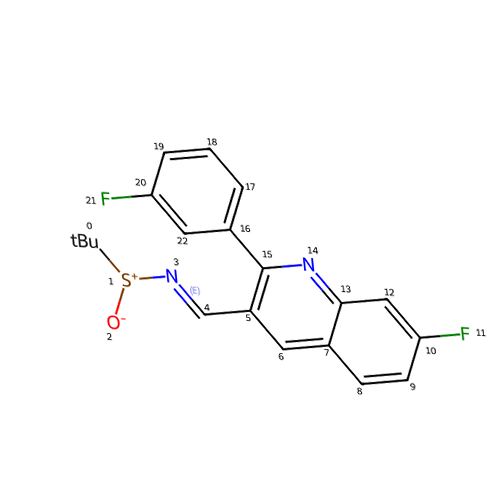 CC(C)(C)[S+]([O-])/N=C/c1cc2ccc(F)cc2nc1-c1cccc(F)c1